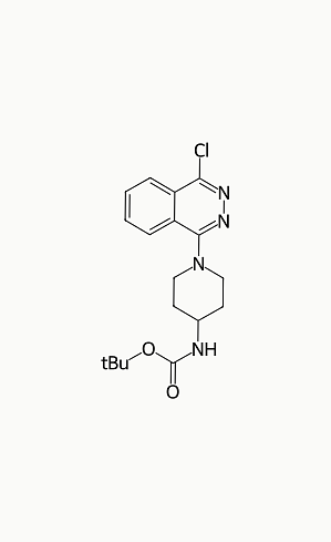 CC(C)(C)OC(=O)NC1CCN(c2nnc(Cl)c3ccccc23)CC1